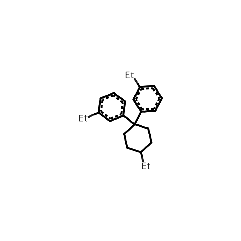 CCc1cccc(C2(c3cccc(CC)c3)CCC(CC)CC2)c1